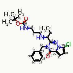 CCC(NCCCNC(=O)OC(C)(C)C)c1nn2c(Cl)ccc2c(=O)n1Cc1ccccc1